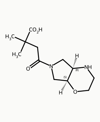 CC(C)(CC(=O)N1C[C@@H]2OCCN[C@@H]2C1)C(=O)O